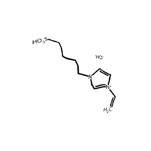 C=C[n+]1ccn(CCCCS(=O)(=O)O)c1.[OH-]